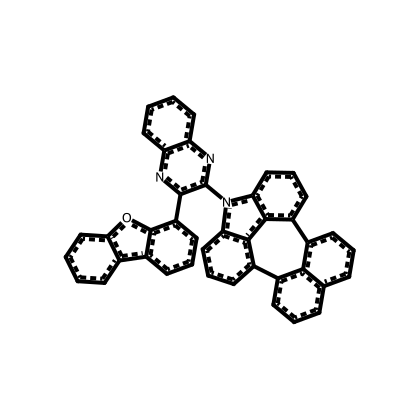 c1cc2c3c(cccc3c1)-c1cccc3c1c1c-2cccc1n3-c1nc2ccccc2nc1-c1cccc2c1oc1ccccc12